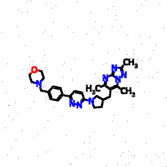 Cc1nc2nc(C)c(CC3CCN(c4ccc(-c5ccc(CN6CCOCC6)cc5)nn4)C3)c(C)n2n1